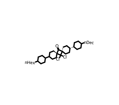 CCCCCCCCCCC1CCC([C@H]2CC[C@@]3(CC2)C(=O)[C@]2(CCC(C4CCC(CCCCCC)CC4)CC2)C3(Cl)Cl)CC1